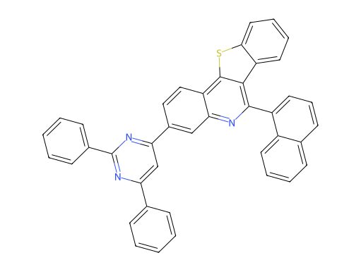 c1ccc(-c2cc(-c3ccc4c(c3)nc(-c3cccc5ccccc35)c3c5ccccc5sc43)nc(-c3ccccc3)n2)cc1